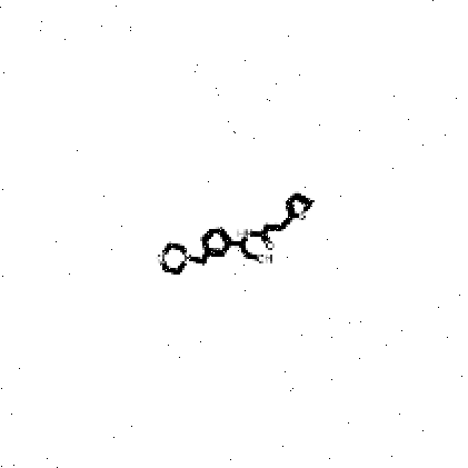 O=C(C=Cc1cccs1)NC(CO)c1cccc(CN2CCOCC2)c1